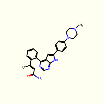 CC(=CC(N)=O)c1ccccc1-c1ncnc2[nH]c(-c3ccc(N4CCN(C)CC4)cc3)cc12